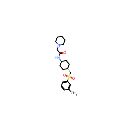 Cc1cccc(S(=O)(=O)C[C@H]2CC[C@H](NC(=O)CN3CCCCC3)CC2)c1